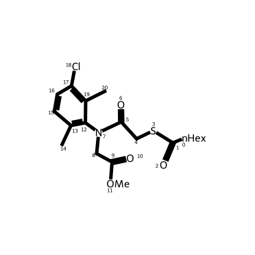 CCCCCCC(=O)SCC(=O)N(CC(=O)OC)c1c(C)ccc(Cl)c1C